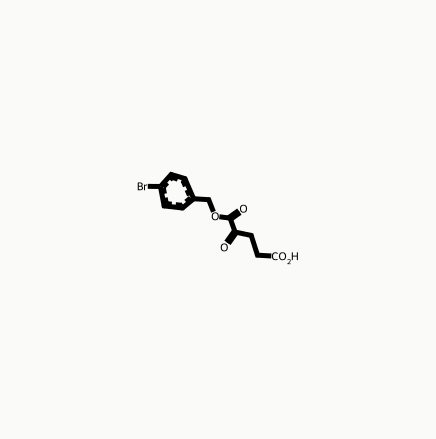 O=C(O)CCC(=O)C(=O)OCc1ccc(Br)cc1